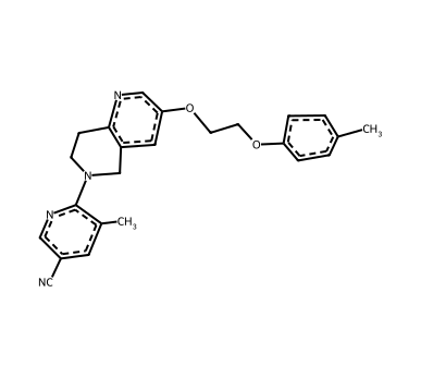 Cc1ccc(OCCOc2cnc3c(c2)CN(c2ncc(C#N)cc2C)CC3)cc1